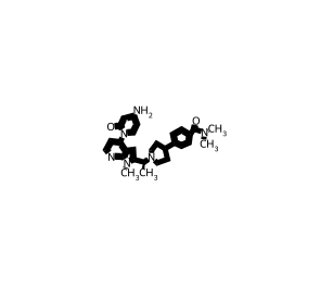 C[C@@H](c1cc2c(-n3ccc(N)cc3=O)ccnc2n1C)N1CCC(c2ccc(C(=O)N(C)C)cc2)CC1